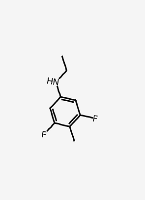 CCNc1cc(F)c(C)c(F)c1